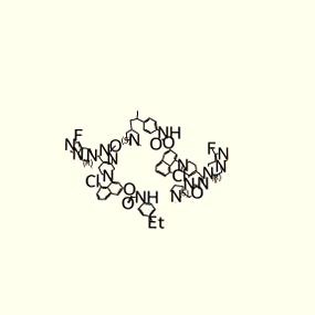 CCc1ccc(NC(=O)Oc2cc(N3CCc4c(nc(OC[C@@H]5CC(CC(C)c6ccc(NC(=O)Oc7cc(N8CCc9c(nc(OC[C@@H]%10CCCN%10C)nc9N9Cc%10c(F)ncn%10C[C@H]9C)C8)c8c(Cl)cccc8c7)cc6)CN5C)nc4N4Cc5c(F)ncn5C[C@H]4C)C3)c3c(Cl)cccc3c2)cc1